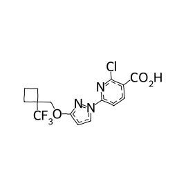 O=C(O)c1ccc(-n2ccc(OCC3(C(F)(F)F)CCC3)n2)nc1Cl